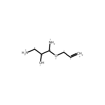 C=CCOC(N)C(O)CN